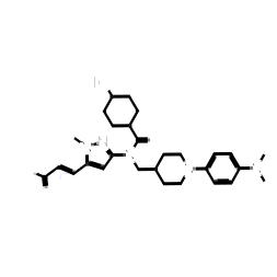 CN(C)c1ccc(N2CCC(CN(C(=O)C3CCC(O)CC3)c3cc(/C=C/C(=O)O)n(C)n3)CC2)cc1